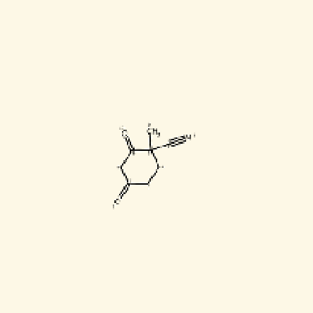 CC1(C#N)CCC(=O)CC1=O